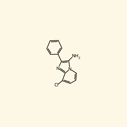 Nc1c(-c2ccccc2)nc2c(Cl)cccn12